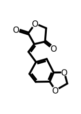 O=C1COC(=O)C1=Cc1ccc2c(c1)OCO2